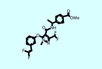 COC(=O)c1ccc(C(C)NC(=O)c2c(C(F)F)nn(C)c2Oc2cccc(C=C(F)F)c2)cc1